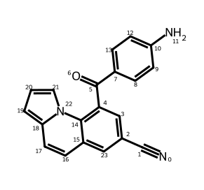 N#Cc1cc(C(=O)c2ccc(N)cc2)c2c(ccc3cccn32)c1